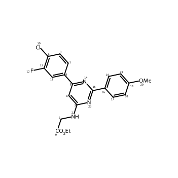 CCOC(=O)CNc1cc(-c2ccc(Cl)c(F)c2)nc(-c2ccc(OC)cc2)n1